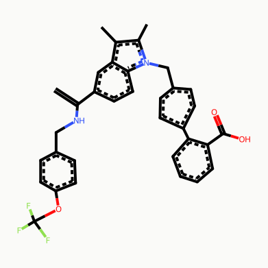 C=C(NCc1ccc(OC(F)(F)F)cc1)c1ccc2c(c1)c(C)c(C)n2Cc1ccc(-c2ccccc2C(=O)O)cc1